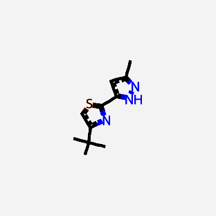 Cc1cc(-c2nc(C(C)(C)C)cs2)[nH]n1